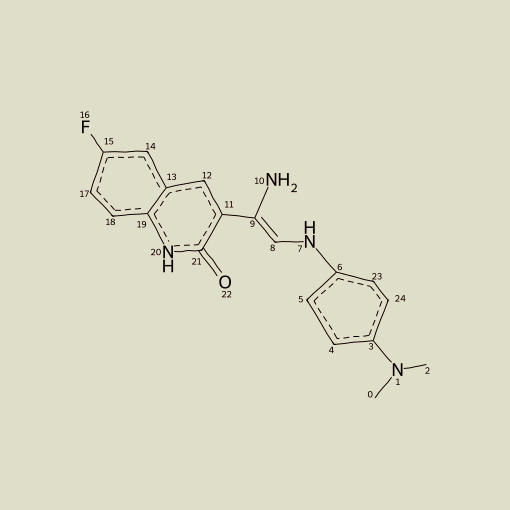 CN(C)c1ccc(N/C=C(\N)c2cc3cc(F)ccc3[nH]c2=O)cc1